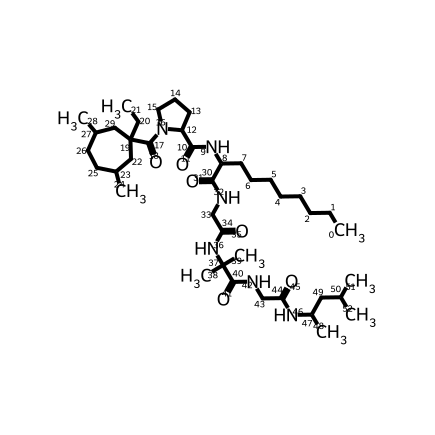 CCCCCCCCC(NC(=O)C1CCCN1C(=O)C1(CC)CC(C)CCC(C)C1)C(=O)NCC(=O)NC(C)(C)C(=O)NCC(=O)NC(C)CC(C)C